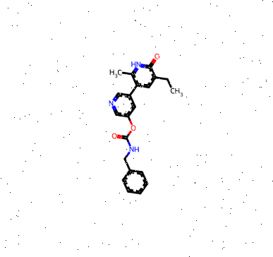 CCc1cc(-c2cncc(OC(=O)NCc3ccccc3)c2)c(C)[nH]c1=O